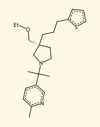 CCOC[C@]1(CCCc2cccs2)CCN(C(C)(C)c2ccc(C)nc2)C1